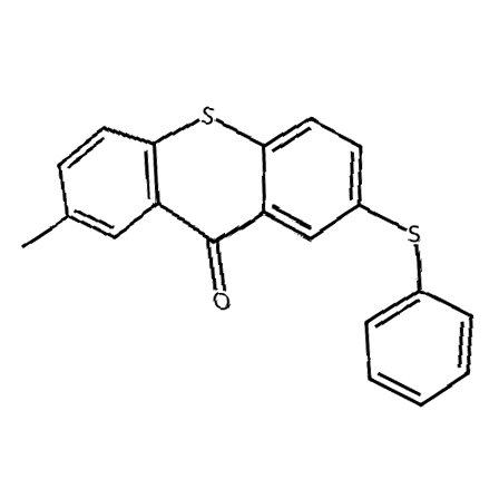 Cc1ccc2sc3ccc(Sc4ccccc4)cc3c(=O)c2c1